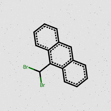 BrC(Br)c1c2ccccc2cc2ccccc12